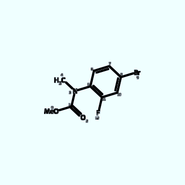 COC(=O)N(C)c1ccc(Br)cc1F